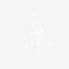 COc1ccc2c(c1)[nH]c(=O)c(=O)n2O